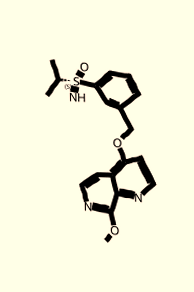 COc1nccc2c(OCc3cccc([S@@](=N)(=O)C(C)C)c3)ccnc12